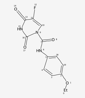 CCOc1ccc(NC(=O)n2cc(F)c(=O)[nH]c2=O)cc1